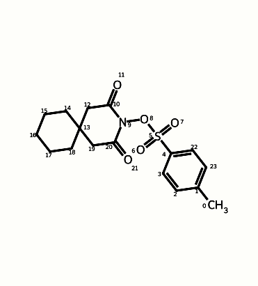 Cc1ccc(S(=O)(=O)ON2C(=O)CC3(CCCCC3)CC2=O)cc1